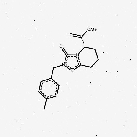 COC(=O)[C@@H]1CCCc2nn(Cc3ccc(C)cc3)c(=O)n21